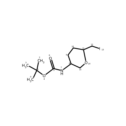 CC(C)(C)OC(=O)NC1CCC(CI)OC1